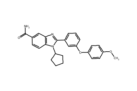 COc1ccc(Oc2cccc(-c3nc4cc(C(N)=O)ccc4n3C3CCCC3)c2)cc1